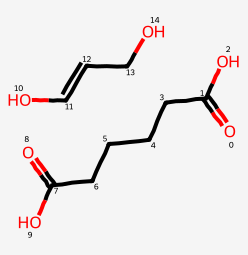 O=C(O)CCCCC(=O)O.OC=CCO